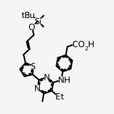 CCc1c(C)nc(-c2ccc(C/C=C/CO[Si](C)(C)C(C)(C)C)s2)nc1Nc1ccc(CC(=O)O)cc1